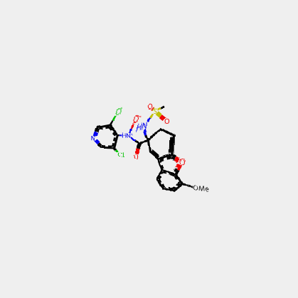 COc1cccc2c3c(oc12)=CCC(NS(C)(=O)=O)(C(=O)[NH+]([O-])c1c(Cl)cncc1Cl)C=3